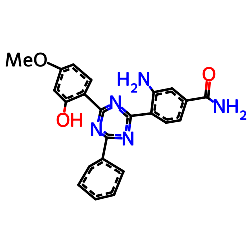 COc1ccc(-c2nc(-c3ccccc3)nc(-c3ccc(C(N)=O)cc3N)n2)c(O)c1